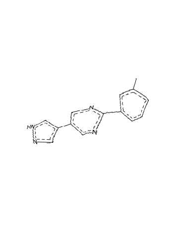 Cc1cccc(-c2ncc(-c3cn[nH]c3)cn2)c1